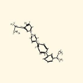 CC(C)c1cccc(-[n+]2ccc(-c3cc[n+](-c4cccc(C(C)C)c4)cc3)cc2)c1